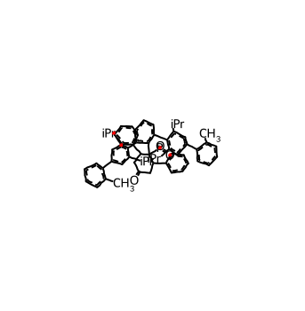 Cc1ccccc1-c1cc(C(C)C)c(-c2cccc(-c3c(C(C)C)cc(-c4ccccc4C)cc3C(C)C)c2C2(P(=O)=O)C(c3ccccc3)CC(=O)CC2c2ccccc2)c(C(C)C)c1